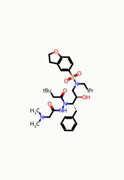 CC(C)CN(C[C@@H](O)[C@H](Cc1ccccc1)N(NC(=O)CN(C)C)C(=O)CC(C)(C)C)S(=O)(=O)c1ccc2c(c1)CCO2